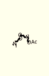 CC(=O)OCCN(C)CCC(=O)OCCCN(C)I